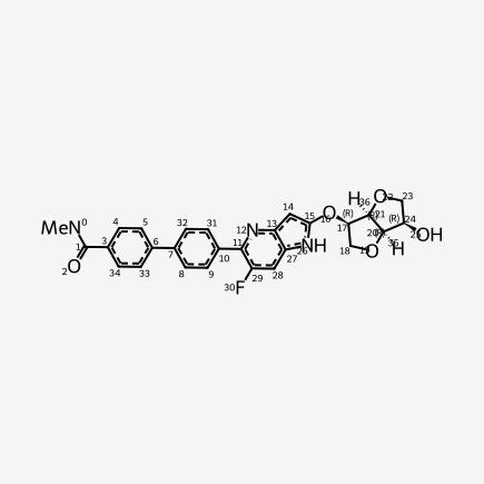 CNC(=O)c1ccc(-c2ccc(-c3nc4cc(O[C@@H]5CO[C@H]6[C@@H]5OC[C@H]6O)[nH]c4cc3F)cc2)cc1